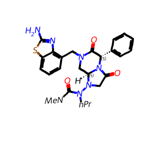 CCCN(C(=O)NC)N1CC(=O)N2[C@@H](c3ccccc3)C(=O)N(Cc3cccc4sc(N)nc34)C[C@@H]21